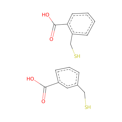 O=C(O)c1cccc(CS)c1.O=C(O)c1ccccc1CS